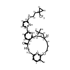 Cc1ccc2nc1OCCC[C@@H]1CN(c3nc(-n4ccc(OCCC5(C(F)(F)F)CC5)n4)ccc3C(=O)NS2)C(C)(C)C1